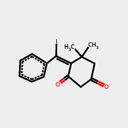 CC1(C)CC(=O)CC(=O)C1=C(I)c1ccccc1